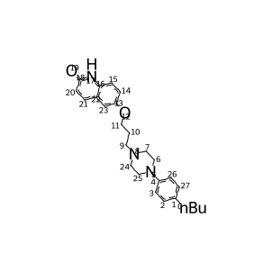 CCCCc1ccc(N2CCN(CCCOc3ccc4[nH]c(=O)ccc4c3)CC2)cc1